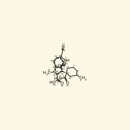 CC1CC[C@@H](C(=O)NCC#N)[C@](C(N)=O)(c2c(C(=O)O)n(C)c3ccccc23)C1